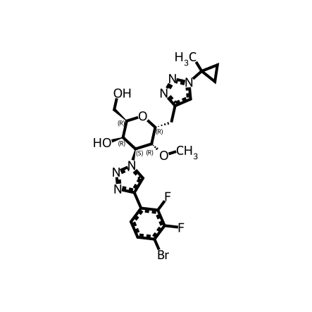 CO[C@@H]1[C@@H](n2cc(-c3ccc(Br)c(F)c3F)nn2)[C@@H](O)[C@@H](CO)O[C@@H]1Cc1cn(C2(C)CC2)nn1